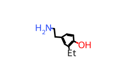 CCc1cc(CCN)ccc1O